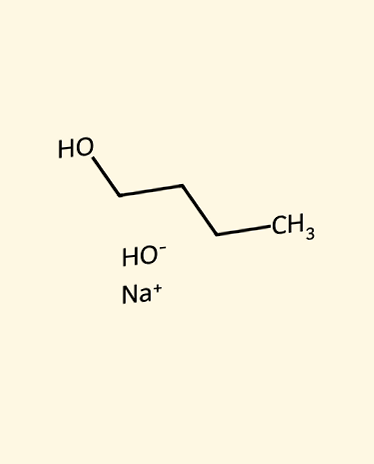 CCCCO.[Na+].[OH-]